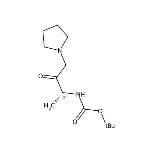 C[C@@H](NC(=O)OC(C)(C)C)C(=O)CN1CCCC1